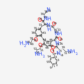 Cc1ccc(C(=O)N(C)[C@@H](CCN)C(=O)N(C)[C@@H]2C(=O)N[C@@H](C)C(=O)N[C@H](C(=O)NCC#N)Cc3ccc(OCCN)c(c3)-c3cc2ccc3OCCN)cc1